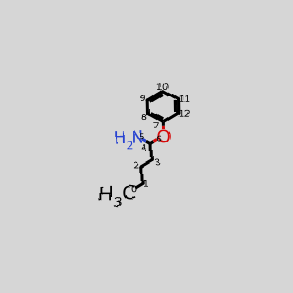 CCCCC(N)Oc1ccccc1